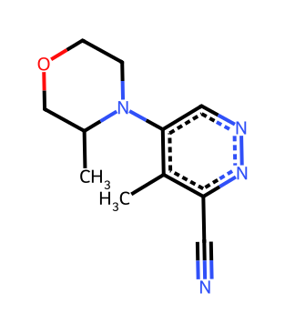 Cc1c(N2CCOCC2C)cnnc1C#N